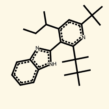 CCC(C)c1cc(C(C)(C)C)nc(C(C)(C)C(C)(C)C)c1-c1nc2ccccc2[nH]1